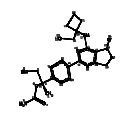 CC(C)(C)C[C@@](C)(OC(N)=O)c1ccc(-c2nc3c(c(NC4(CO)CCC4)n2)[S+]([O-])CC3)cc1